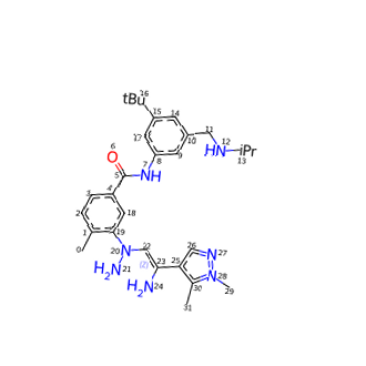 Cc1ccc(C(=O)Nc2cc(CNC(C)C)cc(C(C)(C)C)c2)cc1N(N)/C=C(\N)c1cnn(C)c1C